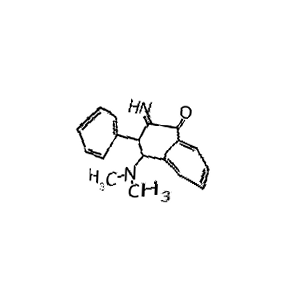 CN(C)C1c2ccccc2C(=O)C(=N)C1c1ccccc1